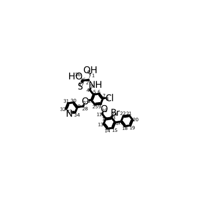 OC[C@H](NCc1cc(Cl)c(OCc2cccc(-c3ccccc3)c2Br)cc1OCc1cccnc1)C(O)=S